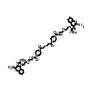 CCCCc1nc2c(N)nc3ccccc3c2n1CCOCCNC(=O)N1CCN(C(=O)CCCCC(=O)N2CCN(C(=O)NCCOCCn3c(CCCC)nc4c(N)nc5ccccc5c43)CC2)CC1